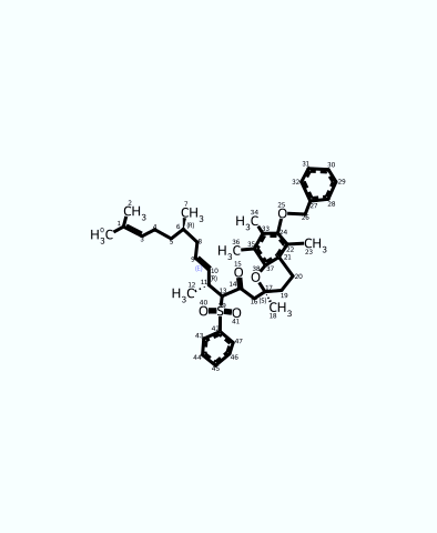 CC(C)=CCC[C@@H](C)C/C=C/[C@@H](C)C(C(=O)C[C@]1(C)CCc2c(C)c(OCc3ccccc3)c(C)c(C)c2O1)S(=O)(=O)c1ccccc1